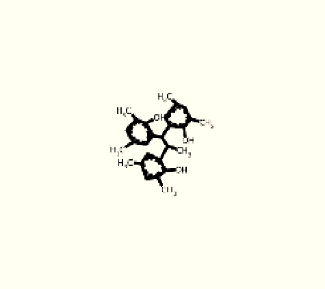 Cc1cc(C)c(O)c(C(C)C(c2cc(C)cc(C)c2O)c2cc(C)cc(C)c2O)c1